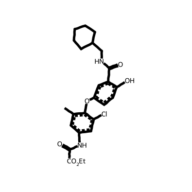 CCOC(=O)C(=O)Nc1cc(C)c(Oc2ccc(O)c(C(=O)NCC3CCCCC3)c2)c(Cl)c1